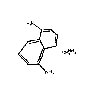 N.N.Nc1cccc2c(N)cccc12